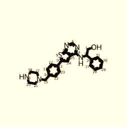 OCC(Nc1ncnc2sc(-c3ccc(CN4CCNCC4)cc3)cc12)c1ccccc1